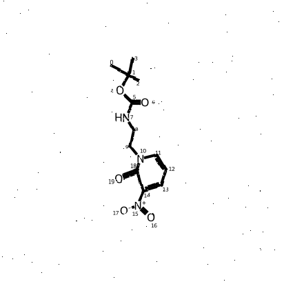 CC(C)(C)OC(=O)NCCn1cccc([N+](=O)[O-])c1=O